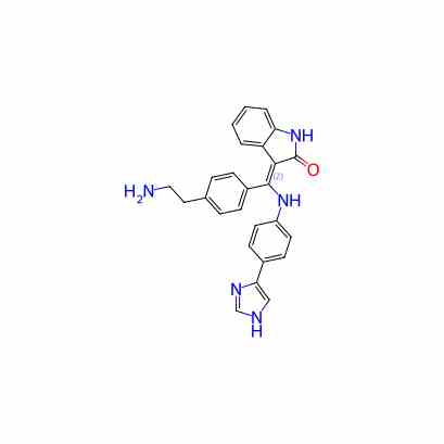 NCCc1ccc(/C(Nc2ccc(-c3c[nH]cn3)cc2)=C2/C(=O)Nc3ccccc32)cc1